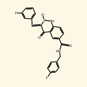 O=C(NCc1ccc(F)cc1)c1ccc2c(c1)C(=O)/C(=C/c1cccc(F)c1)[S+]([O-])N2